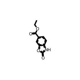 CCOC(=O)c1ccc2[nH]c(=O)oc2c1